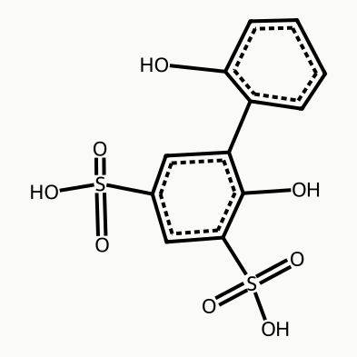 O=S(=O)(O)c1cc(-c2ccccc2O)c(O)c(S(=O)(=O)O)c1